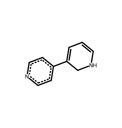 C1=CNCC(c2ccncc2)=C1